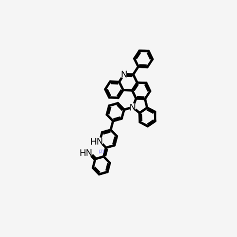 N=C1C=CC=C/C1=C1\C=CC(c2cccc(-n3c4ccccc4c4ccc5c(-c6ccccc6)nc6ccccc6c5c43)c2)=CN1